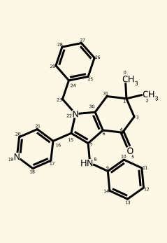 CC1(C)CC(=O)c2c(Nc3ccccc3)c(-c3ccncc3)n(Cc3ccccc3)c2C1